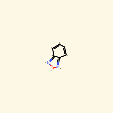 [c]1[c]c2nonc2cc1